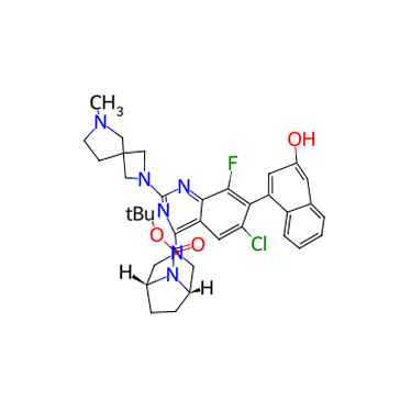 CN1CCC2(C1)CN(c1nc(N3C[C@H]4CC[C@@H](C3)N4C(=O)OC(C)(C)C)c3cc(Cl)c(-c4cc(O)cc5ccccc45)c(F)c3n1)C2